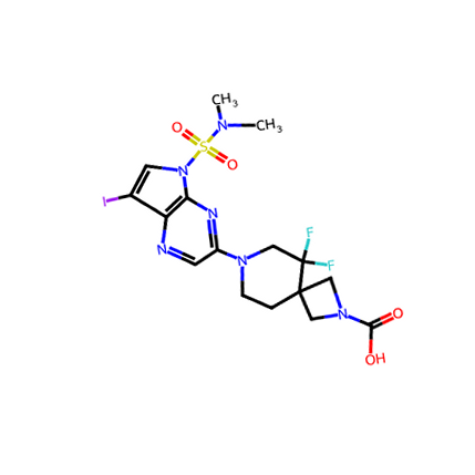 CN(C)S(=O)(=O)n1cc(I)c2ncc(N3CCC4(CN(C(=O)O)C4)C(F)(F)C3)nc21